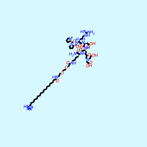 CN1CCC[C@H]1C(=O)N1CCC[C@H]1C(=O)N[C@@H](CCCNC(=N)N)C(=O)N[C@@H](CC(=O)O)C(=O)N[C@@H](CCCCN(CC(=O)O)CC(=O)O)C(=O)N[C@@H](CCCCNC(=O)COCCOCCNC(=O)CCCCCCCCCCCCCCCc1nnn[nH]1)C(N)=O